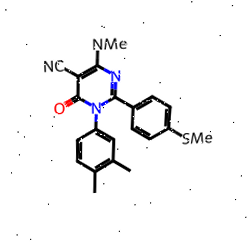 CNc1nc(-c2ccc(SC)cc2)n(-c2ccc(C)c(C)c2)c(=O)c1C#N